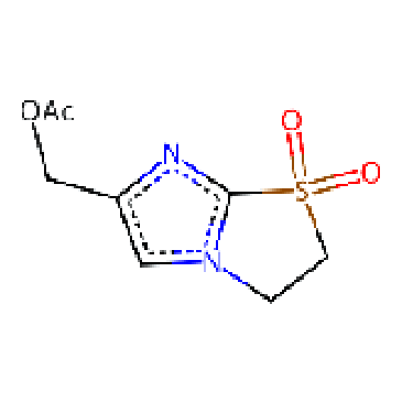 CC(=O)OCc1cn2c(n1)S(=O)(=O)CC2